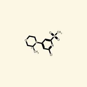 C[C@H]1COCCN1c1cc(Cl)nc(S(C)(=O)=O)c1